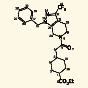 CCOC(=O)C1CCC(CC(=O)N2CCc3c(C(F)(F)F)nn(Cc4ccccc4)c3C2)CC1